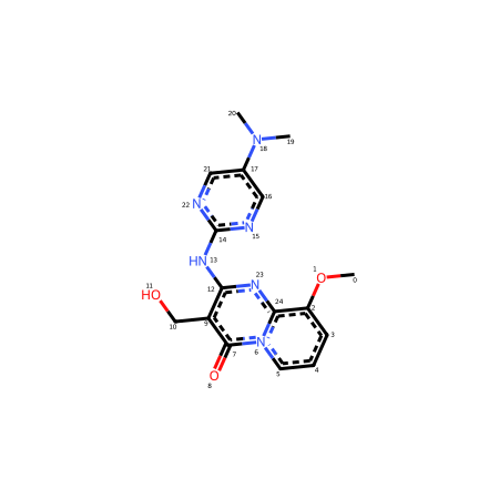 COc1cccn2c(=O)c(CO)c(Nc3ncc(N(C)C)cn3)nc12